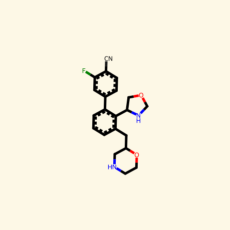 N#Cc1ccc(-c2cccc(CC3CNCCO3)c2C2COCN2)cc1F